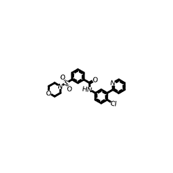 O=C(Nc1ccc(Cl)c(-c2ccccn2)c1)c1cccc(S(=O)(=O)N2CCOCC2)c1